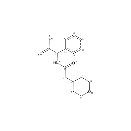 CC(C)C(=O)C(NC(=O)CC1CCOCC1)c1ccccc1